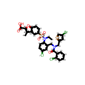 CCN(c1ccc(Cl)cc1CN(Cc1cc(Br)cs1)C(=O)c1ccccc1Cl)S(=O)(=O)c1ccc2oc(C(=O)O)c(C)c2c1